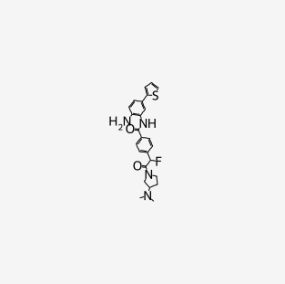 CN(C)C1CCN(C(=O)C(F)c2ccc(C(=O)Nc3cc(-c4cccs4)ccc3N)cc2)C1